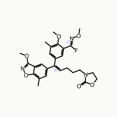 CO/N=C(\F)c1cc(/C(=C\CCCN2CCOC2=O)c2cc(C)c3onc(OC)c3c2)cc(C)c1OC